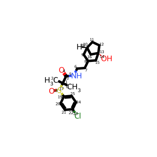 CC(C)(C(=O)NCCC1C[C@@H]2CC[C@@](O)(C1)C2)[S+]([O-])c1ccc(Cl)cc1